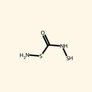 NSC(=O)NS